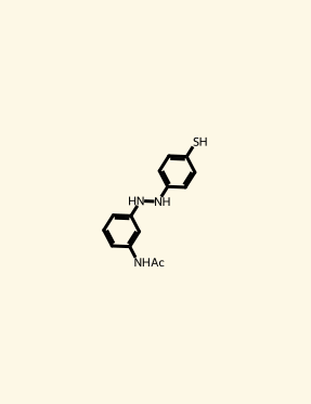 CC(=O)Nc1cccc(NNc2ccc(S)cc2)c1